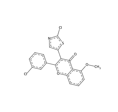 COc1cccc2oc(-c3cccc(Cl)c3)c(-c3cnc(Cl)s3)c(=O)c12